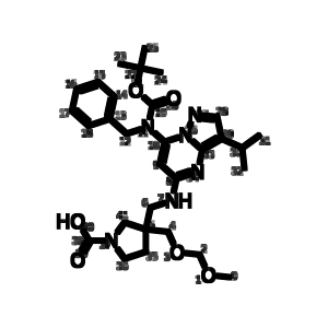 COCOCC1(CNc2cc(N(Cc3ccccc3)C(=O)OC(C)(C)C)n3ncc(C(C)C)c3n2)CCN(C(=O)O)C1